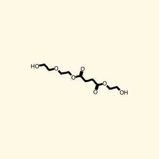 O=C(CCC(=O)OCCOCCO)OCCO